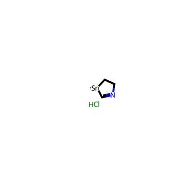 Cl.[CH]1=NC[CH2][Sn]1